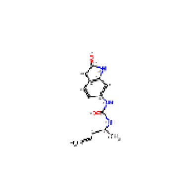 C=CCC(C)NC(=O)Nc1ccc2c(c1)NC(=O)C2